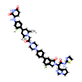 CC1CC(c2ccc(NC3CCC(=O)NC3=O)cc2F)CC(C)N1CC(=O)N1CCN(c2ccc(-c3cc(F)c4c(c3)C(=O)N(C(C(=O)Nc3nccs3)c3ncn5c3CCC5)C4)cc2)CC1